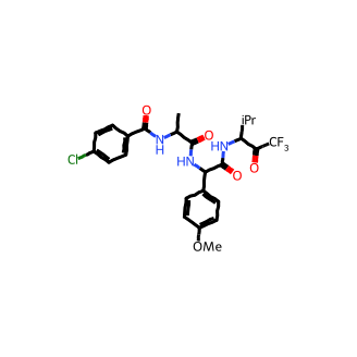 COc1ccc(C(NC(=O)C(C)NC(=O)c2ccc(Cl)cc2)C(=O)NC(C(=O)C(F)(F)F)C(C)C)cc1